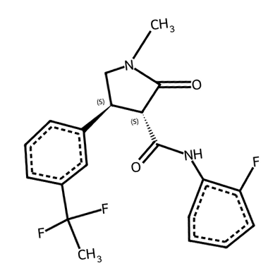 CN1C[C@H](c2cccc(C(C)(F)F)c2)[C@@H](C(=O)Nc2ccccc2F)C1=O